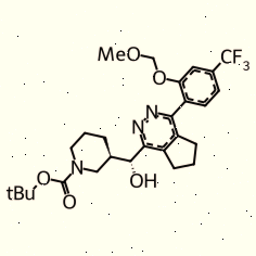 COCOc1cc(C(F)(F)F)ccc1-c1nnc([C@H](O)[C@@H]2CCCN(C(=O)OC(C)(C)C)C2)c2c1CCC2